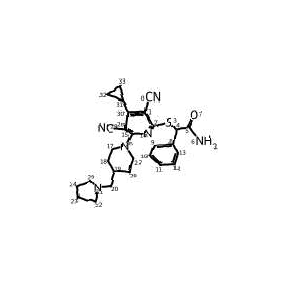 N#Cc1c(SC(C(N)=O)c2ccccc2)nc(N2CCC(CN3CCCC3)CC2)c(C#N)c1C1CC1